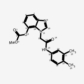 COC(=O)Oc1cccc2ncn(CC(=O)Nc3ccc(C)c(C)c3)c12